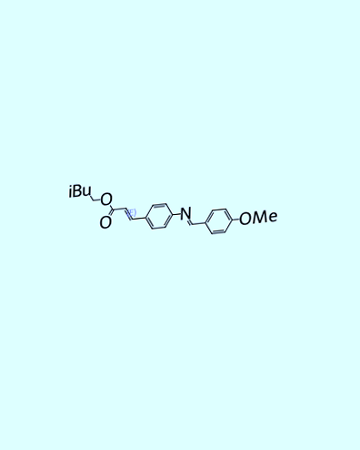 CCC(C)COC(=O)/C=C/c1ccc(N=Cc2ccc(OC)cc2)cc1